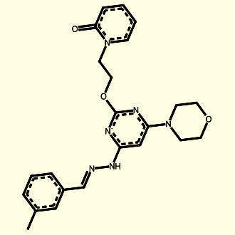 Cc1cccc(/C=N/Nc2cc(N3CCOCC3)nc(OCCn3ccccc3=O)n2)c1